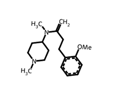 C=C(CCc1ccccc1OC)N(C)C1CCN(C)CC1